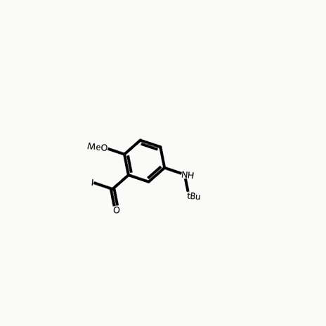 COc1ccc(NC(C)(C)C)cc1C(=O)I